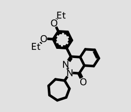 CCOc1ccc(C2=NN(C3CCCCCC3)C(=O)C3CC=CCC23)cc1OCC